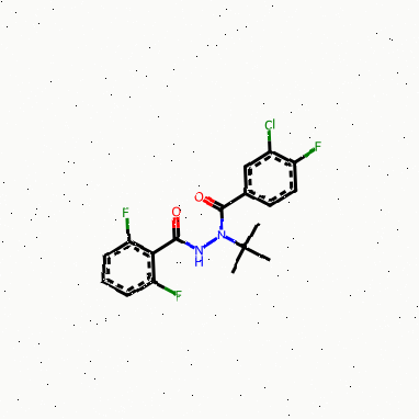 CC(C)(C)N(NC(=O)c1c(F)cccc1F)C(=O)c1ccc(F)c(Cl)c1